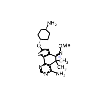 CO/N=C1\c2cc(O[C@H]3CC[C@H](N)CC3)sc2-c2ncnc(N)c2C1(C)C